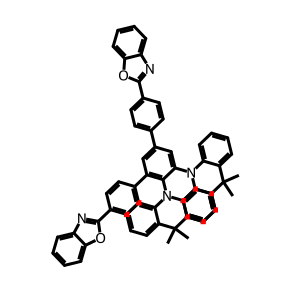 CC1(C)c2ccccc2N(c2cc(-c3ccc(-c4nc5ccccc5o4)cc3)cc(-c3ccc(-c4nc5ccccc5o4)cc3)c2N2c3ccccc3C(C)(C)c3ccccc32)c2ccccc21